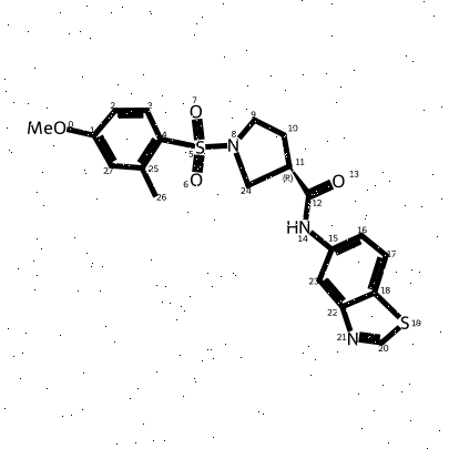 COc1ccc(S(=O)(=O)N2CC[C@@H](C(=O)Nc3ccc4scnc4c3)C2)c(C)c1